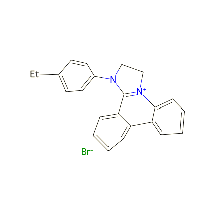 CCc1ccc(N2CC[n+]3c2c2ccccc2c2ccccc23)cc1.[Br-]